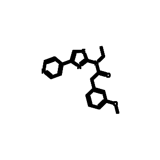 CCN(C(=O)Cc1cccc(OC)c1)c1nc(-c2ccncc2)cs1